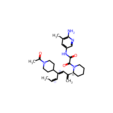 C=C(/C=C(\C=C/C)C1CCN(C(C)=O)CC1)[C@@H]1CCCCN1C(=O)C(=O)Nc1cnc(N)c(C)c1